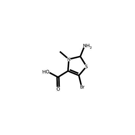 CN1C(C(=O)O)=C(Br)SC1N